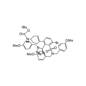 COc1ccc(CN(Cc2ccc(OC)cc2)S(=O)(=O)c2c(Br)ccc(C3=CCC(NC(=O)OC(C)(C)C)CC3)c2-c2nnnn2Cc2ccc(OC)cc2)cc1